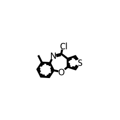 Cc1cccc2c1N=C(Cl)c1cscc1O2